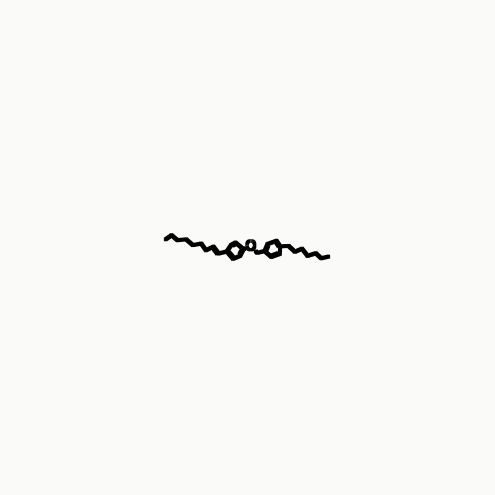 CCCCCCCC=Cc1ccc(OCc2ccc(CCCCCCC)cc2)cc1